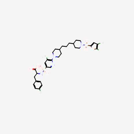 O=C(O)C(Cc1ccc(F)cc1)NS(=O)(=O)c1cnc(N2CCC(CCCC3CCN(S(=O)(=O)c4cc(Br)c(Cl)s4)CC3)CC2)c(Br)c1